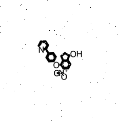 O=[N+]([O-])c1ccc2c(c1Oc1ccc(-c3ccccn3)cc1)CCC2O